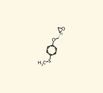 CSc1ccc(OC[C@@H]2CO2)cc1